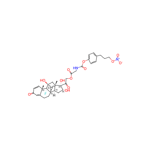 C[C@]12C=CC(=O)C=C1CC[C@H]1[C@@H]3C[C@@H](O)[C@](O)(C(=O)COC(=O)CNC(=O)Oc4ccc(CCCO[N+](=O)[O-])cc4)[C@@]3(C)C[C@H](O)[C@@]12F